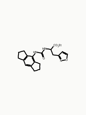 CCOC(=O)C(Cc1ccon1)NC(=O)Nc1c2c(cc3c1CCC3)CCC2